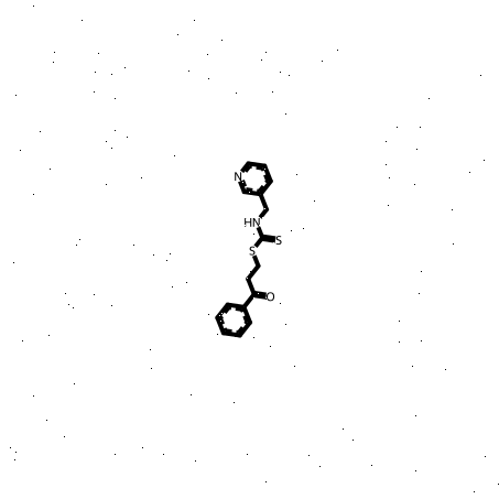 O=C(CCSC(=S)NCc1cccnc1)c1ccccc1